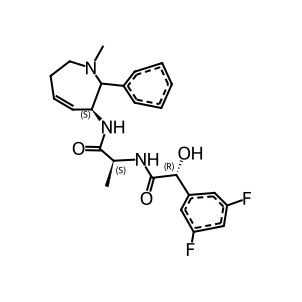 C[C@H](NC(=O)[C@H](O)c1cc(F)cc(F)c1)C(=O)N[C@H]1C=CCCN(C)C1c1ccccc1